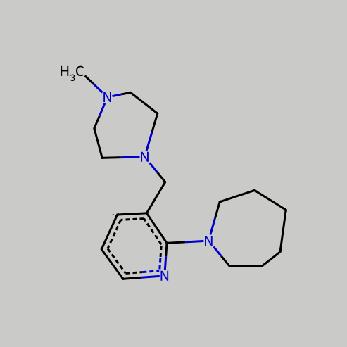 CN1CCN(Cc2[c]ccnc2N2CCCCCC2)CC1